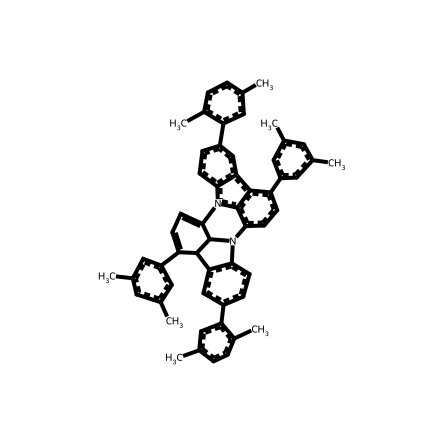 Cc1cc(C)cc(C2=CC=C3C4C2c2cc(-c5cc(C)ccc5C)ccc2N4c2ccc(-c4cc(C)cc(C)c4)c4c5cc(-c6cc(C)ccc6C)ccc5n3c24)c1